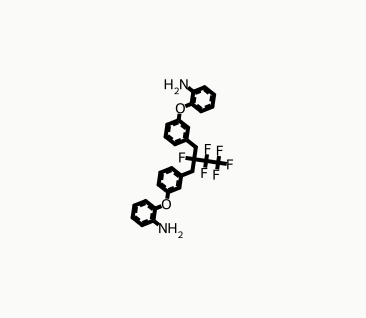 Nc1ccccc1Oc1cccc(CC(F)(Cc2cccc(Oc3ccccc3N)c2)C(F)(F)C(F)(F)F)c1